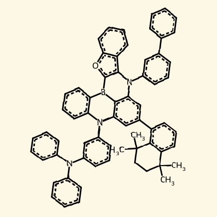 CC1(C)CCC(C)(C)c2c(-c3cc4c5c(c3)N(c3cccc(-c6ccccc6)c3)c3c(oc6ccccc36)B5c3ccccc3N4c3cccc(N(c4ccccc4)c4ccccc4)c3)cccc21